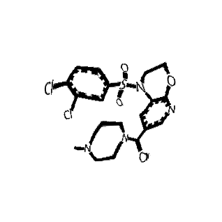 CN1CCN(C(=O)c2cnc3c(c2)N(S(=O)(=O)c2ccc(Cl)c(Cl)c2)CCO3)CC1